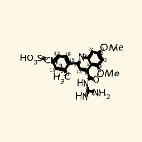 COc1cc(OC)c2c(C(=O)NC(=N)N)cc(-c3ccccc3C)nc2c1.CS(=O)(=O)O